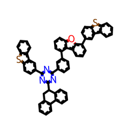 c1cc(-c2nc(-c3ccc4sc5ccccc5c4c3)nc(C3Cc4ccccc4-c4ccccc43)n2)cc(-c2cccc3oc4c(-c5ccc6sc7ccccc7c6c5)cccc4c23)c1